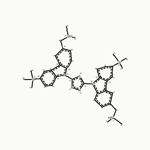 C[SiH](C)Cc1ccc2c(c1)c1cc([Si](C)(C)C)ccc1n2-c1nnc(-n2c3ccc(C[SiH](C)C)cc3c3cc([Si](C)(C)C)ccc32)s1